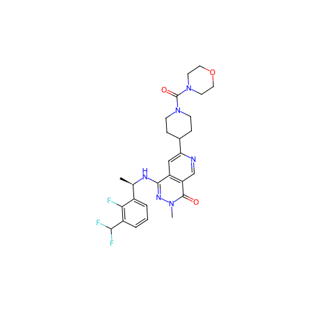 C[C@@H](Nc1nn(C)c(=O)c2cnc(C3CCN(C(=O)N4CCOCC4)CC3)cc12)c1cccc(C(F)F)c1F